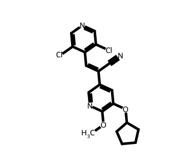 COc1ncc(/C(C#N)=C/c2c(Cl)cncc2Cl)cc1OC1CCCC1